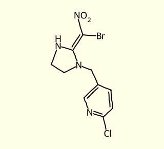 O=[N+]([O-])C(Br)=C1NCCN1Cc1ccc(Cl)nc1